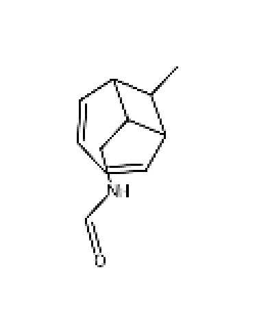 CC1C2C=CC=CC1C2CNC=O